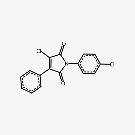 O=C1C(Cl)=C(c2ccccc2)C(=O)N1c1ccc(Cl)cc1